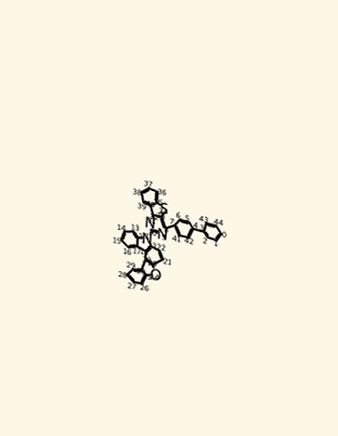 c1ccc(-c2ccc(-c3nc(-n4c5ccccc5c5c6c(ccc54)oc4ccccc46)nc4c3sc3ccccc34)cc2)cc1